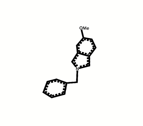 COc1ccc2cn(Cc3ccccc3)cc2c1